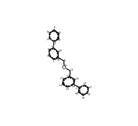 c1ccc(-c2cccc(COCc3cccc(-c4ccccc4)c3)c2)cc1